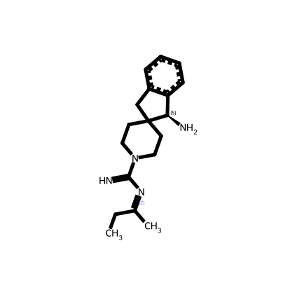 CC/C(C)=N\C(=N)N1CCC2(CC1)Cc1ccccc1[C@H]2N